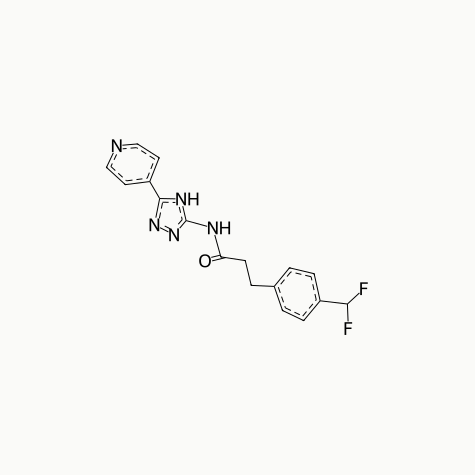 O=C(CCc1ccc(C(F)F)cc1)Nc1nnc(-c2ccncc2)[nH]1